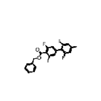 Cc1cc(F)c(-c2cc(F)c(C(=O)OCc3ccccc3)c(I)c2)c(I)c1